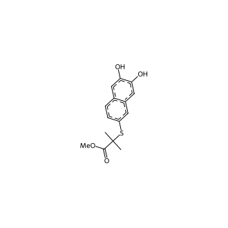 COC(=O)C(C)(C)Sc1ccc2cc(O)c(O)cc2c1